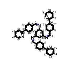 C(=N/C1CC(/N=C\c2ccc(-c3ccccn3)cc2)CC(/N=C\c2ccc(-c3ccccn3)cc2)C1)/c1ccc(-c2ccccn2)cc1